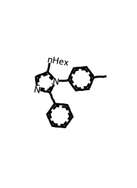 CCCCCCc1cnc(-c2ccccc2)n1-c1ccc(C)cc1